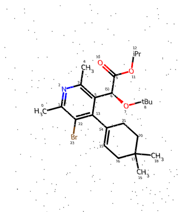 Cc1nc(C)c([C@H](OC(C)(C)C)C(=O)OC(C)C)c(C2=CCC(C)(C)CC2)c1Br